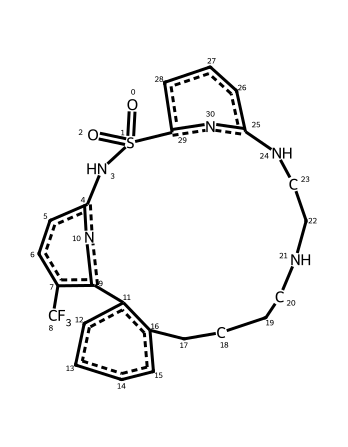 O=S1(=O)Nc2ccc(C(F)(F)F)c(n2)-c2ccccc2CCCCNCCNc2cccc1n2